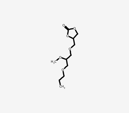 CCCOCC(COCC1COC(=O)O1)OC